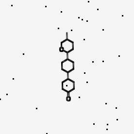 CC1CCC(C2CCC(C3CCC(=O)CC3)CC2)OC1